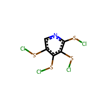 ClSc1cnc(SCl)c(SCl)c1SCl